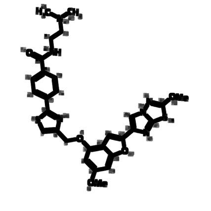 COc1cc(OCc2csc(-c3ccc(C(=O)NCCN(C)C)cc3)n2)c2cc(-c3cn4nc(OC)sc4n3)oc2c1